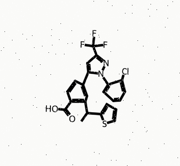 CC(c1cccs1)c1cc(-c2cc(C(F)(F)F)nn2-c2ccccc2Cl)ccc1C(=O)O